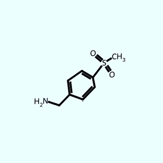 CS(=O)(=O)c1c[c]c(CN)cc1